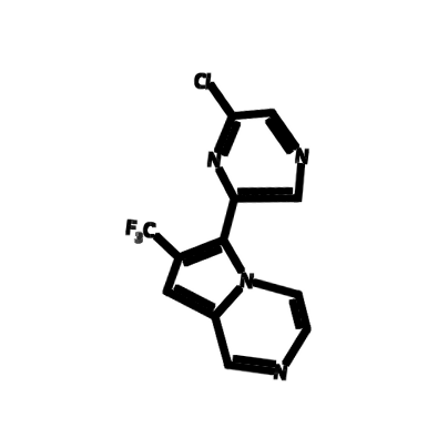 FC(F)(F)c1cc2cnccn2c1-c1cncc(Cl)n1